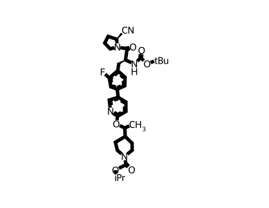 CC(C)OC(=O)N1CCC(C(C)Oc2ccc(-c3ccc(C[C@H](NC(=O)OC(C)(C)C)C(=O)N4CCC[C@H]4C#N)c(F)c3)cn2)CC1